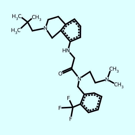 CN(C)CCN(Cc1ccccc1C(F)(F)F)C(=O)CNc1cccc2c1CN(CC(C)(C)C)CC2